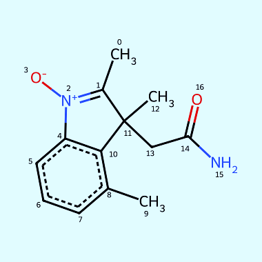 CC1=[N+]([O-])c2cccc(C)c2C1(C)CC(N)=O